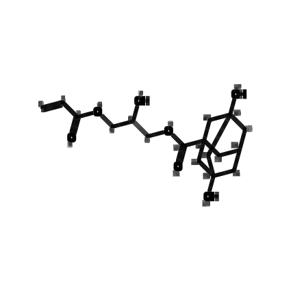 C=CC(=O)OCC(O)COC(=O)C12CC3CC(O)(CC(O)(C3)C1)C2